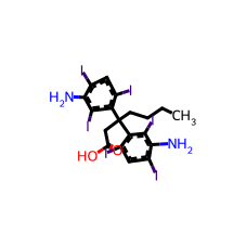 CCCCC(CC(=O)O)(c1c(I)cc(I)c(N)c1I)c1c(I)cc(I)c(N)c1I